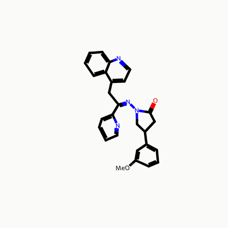 COc1cccc(C2CC(=O)N(N=C(Cc3ccnc4ccccc34)c3ccccn3)C2)c1